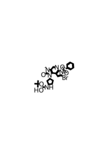 Cn1c(=O)n([C@@H]2CC[C@@H](NC(O)OC(C)(C)C)C2)c2c3cc(Br)n(S(=O)(=O)c4ccccc4)c3ncc21